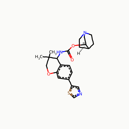 CC1(C)COc2cc(-c3cncs3)ccc2C1NC(=O)O[C@H]1CN2CCC1CC2